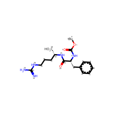 CC(C)(C)OC(=O)N[C@H](Cc1ccccc1)C(=O)N[C@H](CCCNC(=N)N)C(=O)O